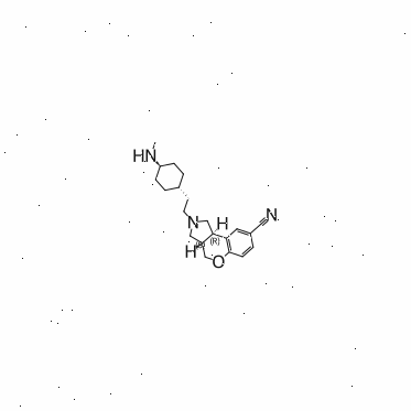 CN[C@H]1CC[C@H](CCN2C[C@H]3COc4ccc(C#N)cc4[C@@H]3C2)CC1